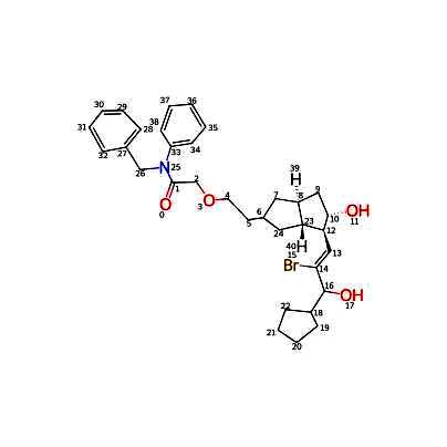 O=C(COCCC1C[C@H]2C[C@H](O)[C@@H](C=C(Br)C(O)C3CCCC3)[C@@H]2C1)N(Cc1ccccc1)c1ccccc1